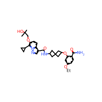 CCOc1ccc(C(N)=O)c(OC2CC3(CC(NC(=O)c4cnn5c(C6CC6)c(OCC(C)(C)O)ccc45)C3)C2)c1